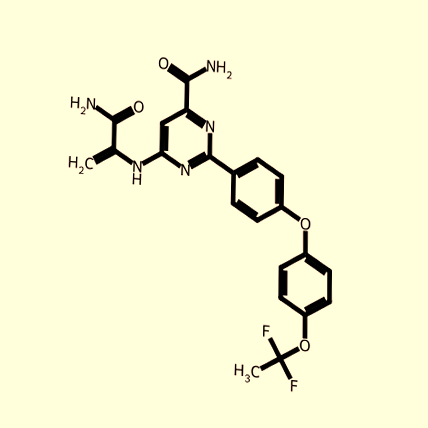 C=C(Nc1cc(C(N)=O)nc(-c2ccc(Oc3ccc(OC(C)(F)F)cc3)cc2)n1)C(N)=O